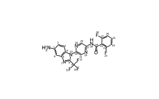 Nc1ccc2c(c1)nc(C(F)(F)F)n2-c1cnc(NC(=O)c2c(F)cccc2F)cn1